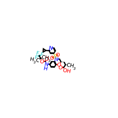 C[C@@H](C[C@H]1CN(S(=O)(=O)c2ccnc(C3CC3)c2)c2cc(NC(=O)OC(C)(C)C(F)(F)F)ccc2O1)C(=O)O